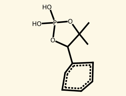 CC1(C)O[P](O)(O)OC1c1ccccc1